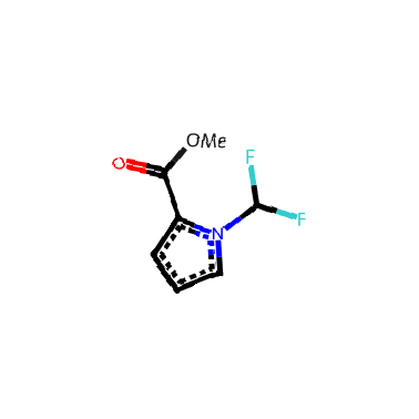 COC(=O)c1cccn1C(F)F